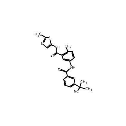 Cc1ncc(NC(=O)c2cc(NC(=O)c3cccc(C(C)(C)C#N)c3)ccc2C)s1